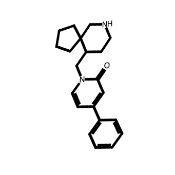 O=c1cc(-c2ccccc2)ccn1CC1CCNCC12CCCC2